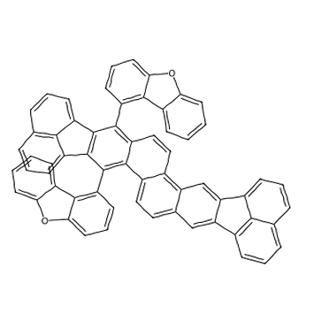 c1cc2c3c(cccc3c1)-c1cc3c(ccc4c3ccc3c(-c5cccc6oc7ccccc7c56)c5c(c(-c6cccc7oc8ccccc8c67)c34)-c3cccc4cccc-5c34)cc1-2